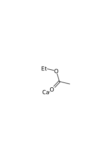 CCOC(C)=O.[Ca]